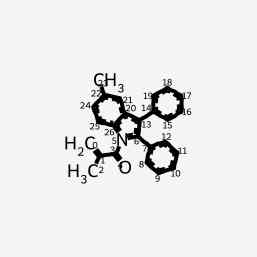 C=C(C)C(=O)n1c(-c2ccccc2)c(-c2ccccc2)c2cc(C)ccc21